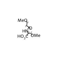 COCCC(=O)NC(COC)C(=O)O